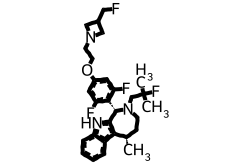 C[C@H]1CCN(CC(C)(C)F)[C@@H](c2c(F)cc(OCCN3CC(CF)C3)cc2F)c2[nH]c3ccccc3c21